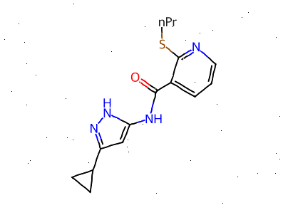 CCCSc1ncccc1C(=O)Nc1cc(C2CC2)n[nH]1